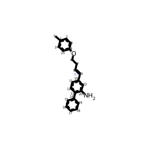 [CH]c1ccc(OCC/C=C/c2ccc(-c3ccccc3)c(N)c2)cc1